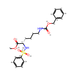 COC(=O)[C@H](CCCCNC(=O)OCc1ccccc1)NS(=O)(=O)c1ccccc1